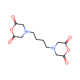 O=C1CN(CCCCN2CC(=O)OC(=O)C2)CC(=O)O1